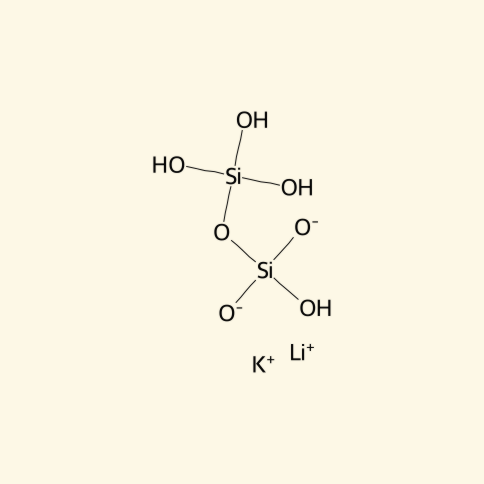 [K+].[Li+].[O-][Si]([O-])(O)O[Si](O)(O)O